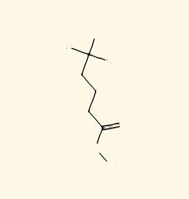 CC(C)(C)OC(=O)CCCC(N)(Br)C(=O)O